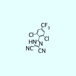 N#Cc1nc(-c2c(Cl)cc(C(F)(F)F)cc2Cl)[nH]c1C#N